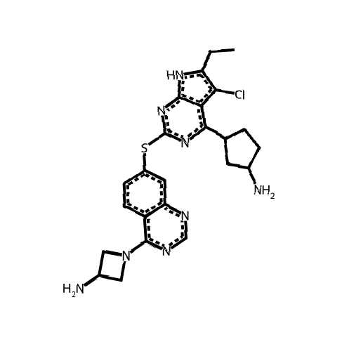 CCc1[nH]c2nc(Sc3ccc4c(N5CC(N)C5)ncnc4c3)nc(C3CCC(N)C3)c2c1Cl